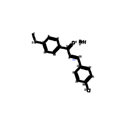 Br.CSc1ccc(C(=O)/C=C/c2ccc(Cl)cc2)cc1